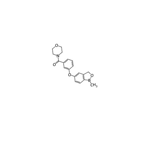 CB1OCc2cc(Oc3cccc(C(=O)N4CCOCC4)c3)ccc21